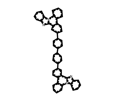 c1ccc2c(c1)nc1c3cc(-c4ccc(-c5ccc(-c6ccc7c8ccccc8n8c9ccccc9nc8c7c6)cc5)cc4)ccc3c3ccccc3n21